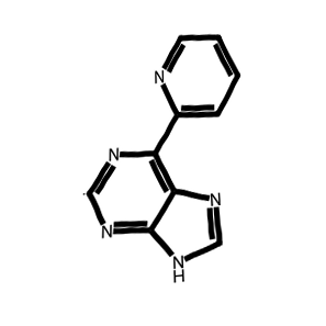 [c]1nc(-c2ccccn2)c2nc[nH]c2n1